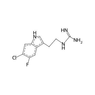 N=C(N)NCCc1c[nH]c2cc(Cl)c(F)cc12